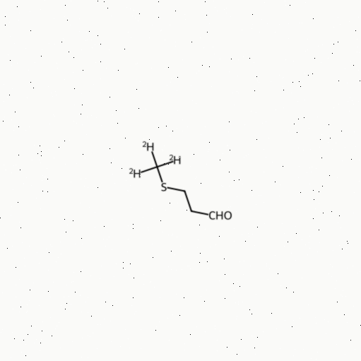 [2H]C([2H])([2H])SCCC=O